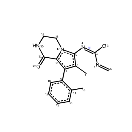 C=N/C(Cl)=N\c1c(C)c(-c2ccccc2C)c2n1CCNC2=O